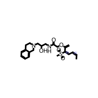 C=C(OCC(=O)NCC(O)CN1CCc2ccccc2C1)/C(=C\C=C/C)S(C)(=O)=O